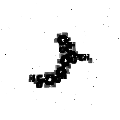 CCC1CN(C(=O)Nc2ccccc2)c2ccc(-c3ccc(OC4CCC(C(C)=O)CC4)nc3)cc2O1